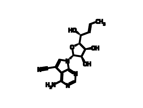 CC=C[C@@H](O)[C@H]1O[C@@H](n2cc(C#N)c3c(N)ncnc32)[C@H](O)[C@@H]1O